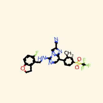 Cc1cc(S(=O)(=O)C(F)(F)F)ccc1-c1cnc(NCc2c(F)ccc3c2CCO3)n2cc(C#N)nc12